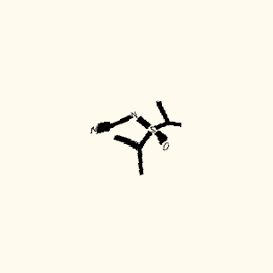 CC(C)S(=O)(=NC#N)C(C)C